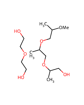 COC(C)COC(C)COC(C)CO.OCCOCCO